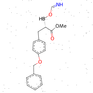 COC(=O)[C@@H](BOC=N)Cc1ccc(OCc2ccccc2)cc1